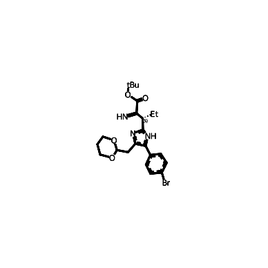 CC[C@@H](C(=N)C(=O)OC(C)(C)C)c1nc(CC2OCCCO2)c(-c2ccc(Br)cc2)[nH]1